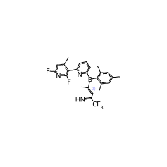 C/C(=C\C(=N)C(F)(F)F)B(c1cccc(-c2c(C)cc(F)nc2F)n1)c1c(C)cc(C)cc1C